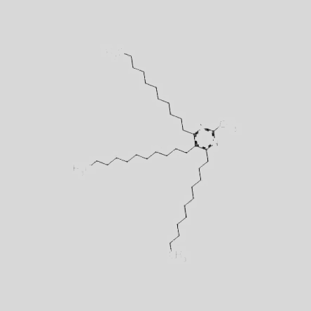 CCCCCCCCCCCc1nc(C)nc(CCCCCCCCCCC)c1CCCCCCCCCCC